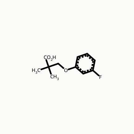 CC(C)(COc1cccc(F)c1)C(=O)O